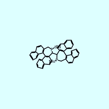 CC(C)(C)P1Cc2ccc3ccccc3c2-c2c(ccc3ccccc23)C1C1c2ccc3ccccc3c2-c2c(ccc3ccccc23)CP1C(C)(C)C